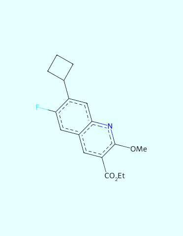 CCOC(=O)c1cc2cc(F)c(C3CCC3)cc2nc1OC